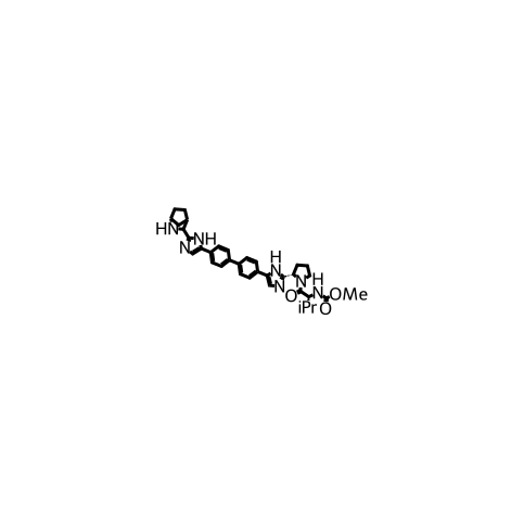 COC(=O)N[C@H](C(=O)N1CCC[C@H]1c1ncc(-c2ccc(-c3ccc(-c4cnc(C5NC6CCC5C6)[nH]4)cc3)cc2)[nH]1)C(C)C